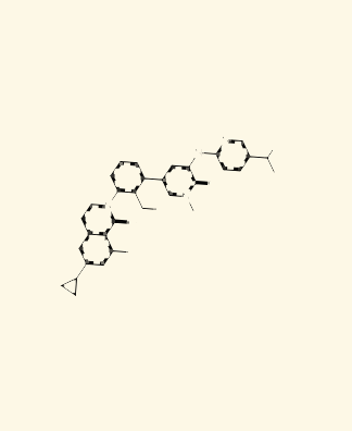 CC(O)c1ccc(Nc2cc(-c3cccc(-n4ccc5cc(C6CC6)cc(F)c5c4=O)c3CO)cn(C)c2=O)nc1